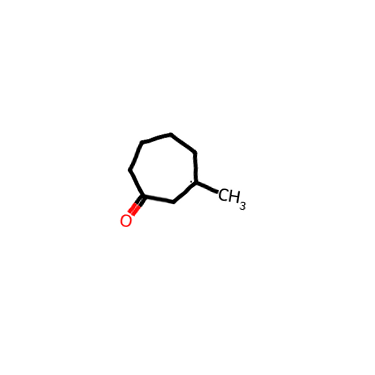 C[C]1CCCCC(=O)C1